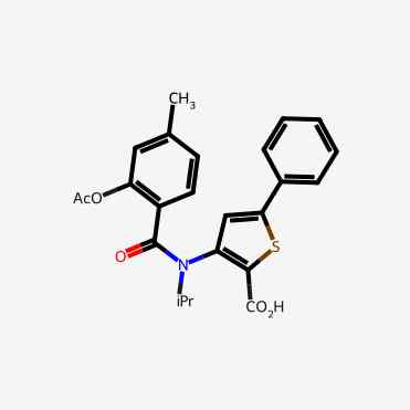 CC(=O)Oc1cc(C)ccc1C(=O)N(c1cc(-c2ccccc2)sc1C(=O)O)C(C)C